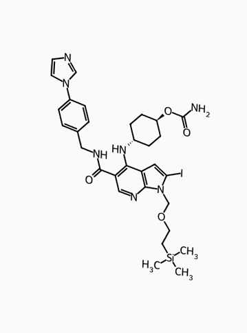 C[Si](C)(C)CCOCn1c(I)cc2c(N[C@H]3CC[C@H](OC(N)=O)CC3)c(C(=O)NCc3ccc(-n4ccnc4)cc3)cnc21